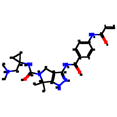 C=CC(=O)Nc1ccc(C(=O)Nc2n[nH]c3c2CN(C(=O)NC2(CN(C)C)CC2)C3(C)C)cc1